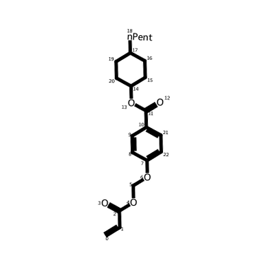 C=CC(=O)OCOc1ccc(C(=O)OC2CCC(CCCCC)CC2)cc1